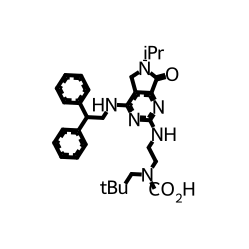 CC(C)N1Cc2c(NCC(c3ccccc3)c3ccccc3)nc(NCCN(CC(C)(C)C)C(=O)O)nc2C1=O